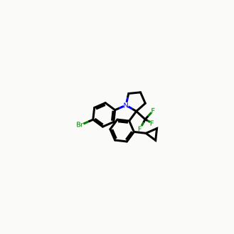 FC(F)(F)C1(c2ccccc2C2CC2)CCCN1c1ccc(Br)cc1